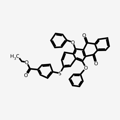 CCOC(=O)c1ccc(Sc2ccc3c(Oc4ccccc4)c4c(c(Oc5ccccc5)c3c2)C(=O)c2ccccc2C4=O)cc1